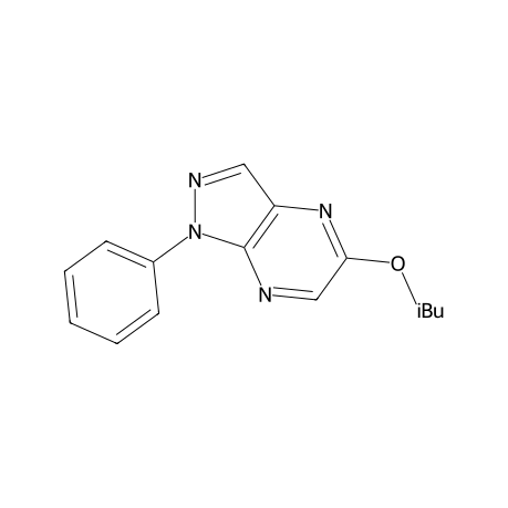 CCC(C)Oc1cnc2c(cnn2-c2ccccc2)n1